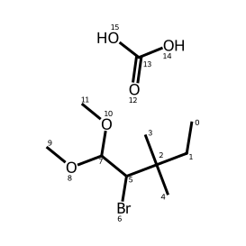 CCC(C)(C)C(Br)C(OC)OC.O=C(O)O